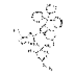 COC(=O)CC(Nc1nc(-c2cn(C(c3ccccc3)(c3ccccc3)c3ccccc3)c3ncc(Cl)nc23)nc2c1ccn2C)C(C)(C)C